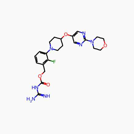 N=C(N)NC(=O)OCc1cccc(N2CCC(Oc3cnc(N4CCOCC4)nc3)CC2)c1F